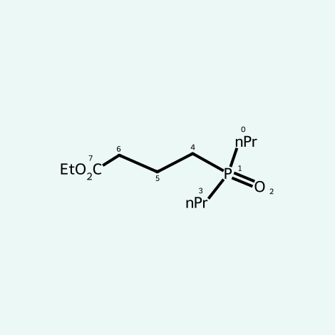 CCCP(=O)(CCC)CCCC(=O)OCC